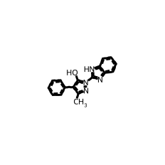 Cc1nn(-c2nc3ccccc3[nH]2)c(O)c1-c1ccccc1